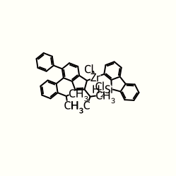 CC(C)C1=Cc2c(ccc(-c3ccccc3)c2-c2ccccc2C(C)C)[CH]1[Zr]([Cl])([Cl])[c]1cccc2c1[SiH2]c1ccccc1-2